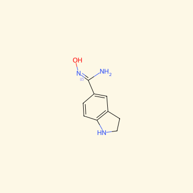 N/C(=N\O)c1ccc2c(c1)CCN2